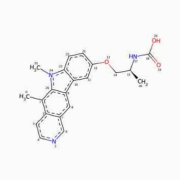 Cc1c2ccncc2cc2c3cc(OC[C@H](C)NC(=O)O)ccc3n(C)c12